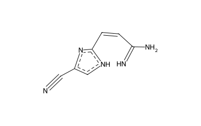 N#Cc1c[nH]c(/C=C\C(=N)N)n1